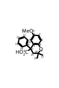 COc1ccc2c(c1)C(C(=O)O)(c1ccccc1)CC(C)(C)O2